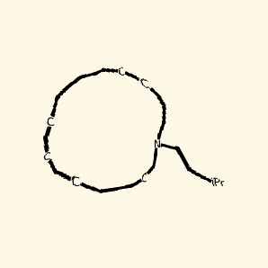 CC(C)CCN1CCCCCCCCCCCCCCCC1